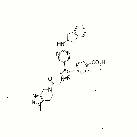 O=C(O)c1ccc(-c2nn(CC(=O)N3CCc4[nH]nnc4C3)cc2-c2cnc(NC3Cc4ccccc4C3)nc2)cc1